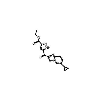 CCOC(=O)c1cc(C(=O)c2cn3cc(C4CC4)ccc3n2)[nH]n1